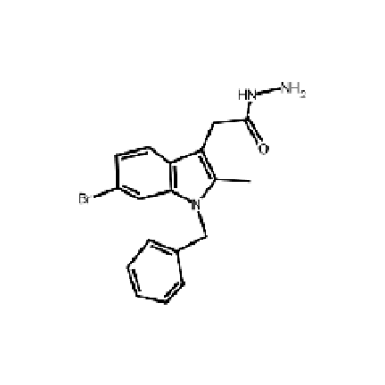 Cc1c(CC(=O)NN)c2ccc(Br)cc2n1Cc1ccccc1